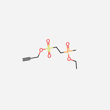 C#CCOS(=O)(=O)CCP(C)(=O)OCC